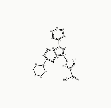 O=C(O)c1csc(-n2nc(-c3ccccc3)c3ccc(N4CCCCC4)nc32)n1